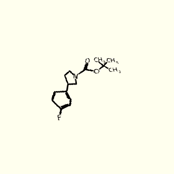 CC(C)(C)OC(=O)N1CCC(c2ccc(F)cc2)C1